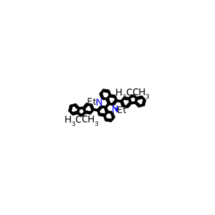 CCn1c2c(-c3ccc4c(c3)C(C)(C)c3ccccc3-4)cc3cccc4c3c2-c2c3c(cccc31)cc(-c1ccc3c(c1)C(C)(C)c1ccccc1-3)c2n4CC